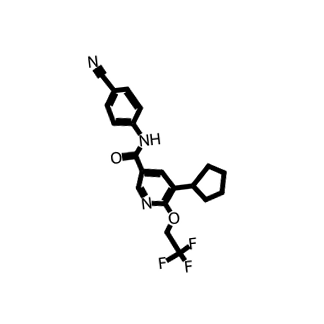 N#Cc1ccc(NC(=O)c2cnc(OCC(F)(F)F)c(C3CCCC3)c2)cc1